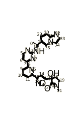 C[C@H](Nc1nccc(-c2cccc(-c3cc([C@]4(O)CCN(C)C4=O)on3)n2)n1)c1ccc2nccn2c1